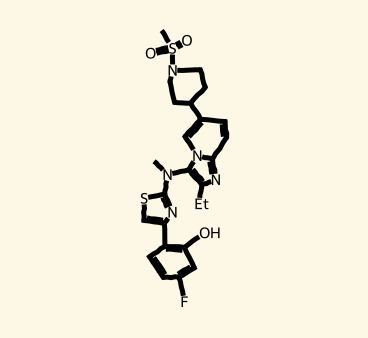 CCc1nc2ccc(C3CCN(S(C)(=O)=O)CC3)cn2c1N(C)c1nc(-c2ccc(F)cc2O)cs1